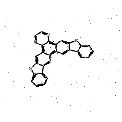 c1ccc2c(c1)sc1cc3c(cc12)c1cc2c(cc1c1nccnc31)sc1ccccc12